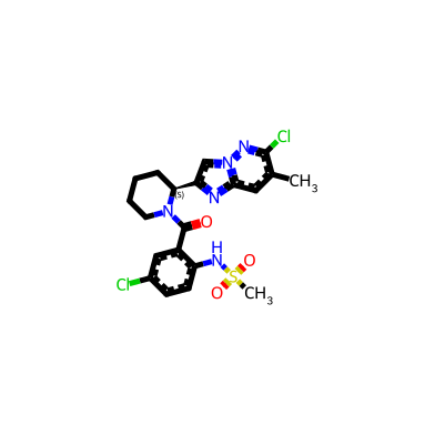 Cc1cc2nc([C@@H]3CCCCN3C(=O)c3cc(Cl)ccc3NS(C)(=O)=O)cn2nc1Cl